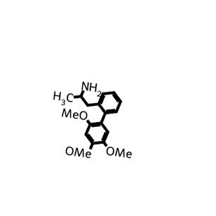 COc1cc(OC)c(-c2ccccc2CC(C)N)cc1OC